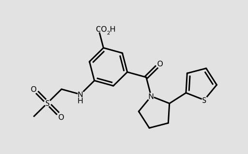 CS(=O)(=O)CNc1cc(C(=O)O)cc(C(=O)N2CCCC2c2cccs2)c1